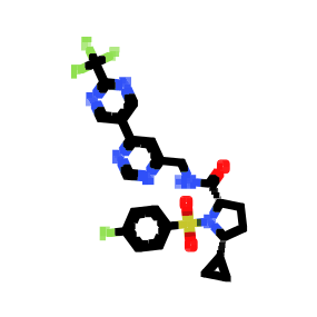 O=C(NCc1cc(-c2cnc(C(F)(F)F)nc2)ncn1)[C@@H]1CC[C@H](C2CC2)N1S(=O)(=O)c1ccc(F)cc1